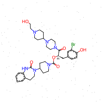 O=C(O[C@H](Cc1ccc(O)c(Br)c1)C(=O)N1CCN(C2CCN(CCO)CC2)CC1)N1CCC(N2CCc3ccccc3NC2=O)CC1